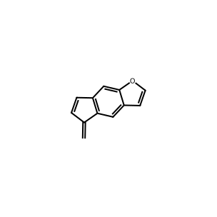 C=C1C=Cc2cc3occc3cc21